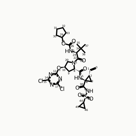 C=C[C@@H]1C[C@]1(NC(=O)[C@@H]1C[C@@H](Oc2nc(Cl)nc(Cl)n2)CN1C(=O)[C@@H](NC(=O)OC1CCCC1)C(C)(C)C)C(=O)NS(=O)(=O)C1CC1